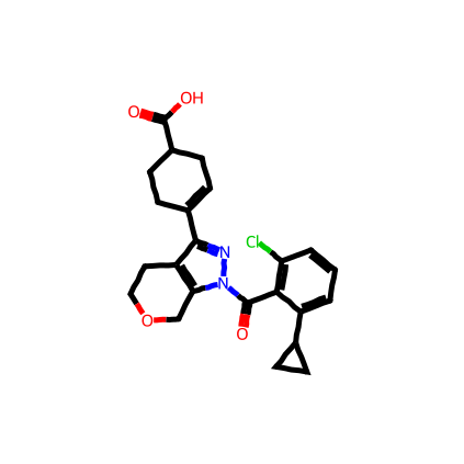 O=C(O)C1CC=C(c2nn(C(=O)c3c(Cl)cccc3C3CC3)c3c2CCOC3)CC1